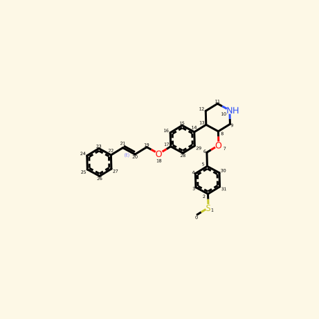 CSc1ccc(COC2CNCCC2c2ccc(OC/C=C/c3ccccc3)cc2)cc1